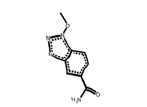 COn1nnc2cc(C(N)=O)ccc21